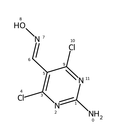 Nc1nc(Cl)c(/C=N/O)c(Cl)n1